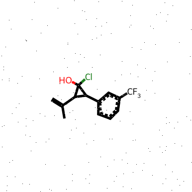 C=C(C)C1C(c2cccc(C(F)(F)F)c2)C1(O)Cl